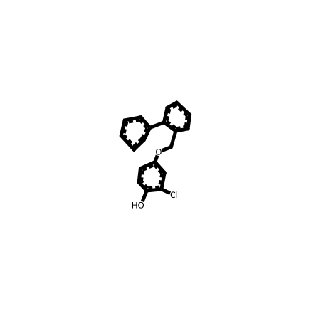 Oc1ccc(OCc2ccccc2-c2ccccc2)cc1Cl